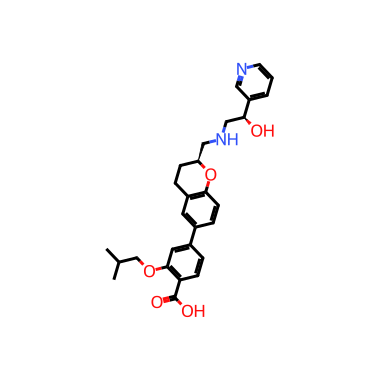 CC(C)COc1cc(-c2ccc3c(c2)CC[C@@H](CNC[C@H](O)c2cccnc2)O3)ccc1C(=O)O